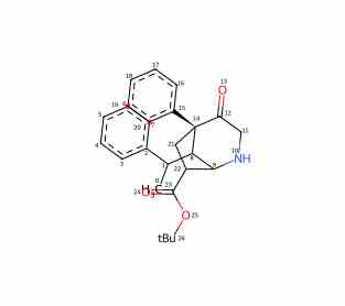 CC(c1ccccc1)C1C2NCC(=O)[C@@]1(c1ccccc1)CC2C(=O)OC(C)(C)C